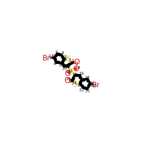 O=c1sc2ccc(Br)cc2cc1S(=O)(=O)c1cc2cc(Br)ccc2sc1=O